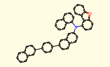 c1ccc2cc(-c3ccc(-c4ccc5ccc(N(c6cccc7ccccc67)c6cccc7oc8ccccc8c67)cc5c4)cc3)ccc2c1